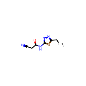 CCc1nnc(NC(=O)CC#N)s1